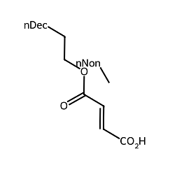 CCCCCCCCCC.CCCCCCCCCCCCOC(=O)C=CC(=O)O